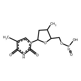 Cc1cn(C2CC(C)C(CO[PH](=O)O)O2)c(=O)[nH]c1=O